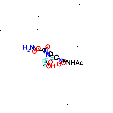 CC(=O)NC[C@H]1CN(c2ccc(-c3ccc(N4CC(COC(=O)CN)CC4=O)nc3)c(F)c2)C(=O)O1.O=C(O)C(F)(F)F